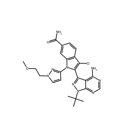 COCCn1ccc(-n2c(-c3nn(C(C)(C)C)c4ncnc(N)c34)c(Cl)c3ccc(C(N)=O)cc32)n1